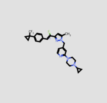 Cc1cc(/C(F)=C/c2ccc(C3(C(F)(F)F)CC3)cc2)nn1Cc1ccnc(N2CCN(C3CC3)CC2)c1